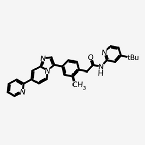 Cc1cc(-c2cnc3cc(-c4ccccn4)ccn23)ccc1CC(=O)Nc1cc(C(C)(C)C)ccn1